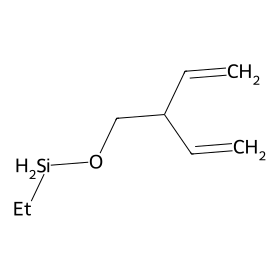 C=CC(C=C)CO[SiH2]CC